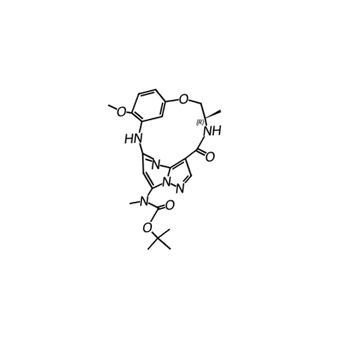 COc1ccc2cc1Nc1cc(N(C)C(=O)OC(C)(C)C)n3ncc(c3n1)C(=O)N[C@H](C)CO2